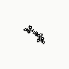 Cc1ccc(N(c2ccc3c(c2)C(C)(C)c2c-3ccc3c2C(C)(C)c2cc(N(c4ccc(C)cc4)c4cccc5c4oc4ccccc45)c4ccccc4c2-3)c2cccc3c2oc2ccccc23)cc1